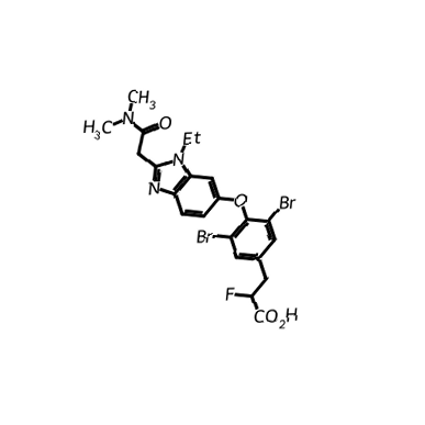 CCn1c(CC(=O)N(C)C)nc2ccc(Oc3c(Br)cc(CC(F)C(=O)O)cc3Br)cc21